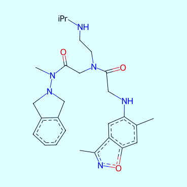 Cc1cc2onc(C)c2cc1NCC(=O)N(CCNC(C)C)CC(=O)N(C)N1Cc2ccccc2C1